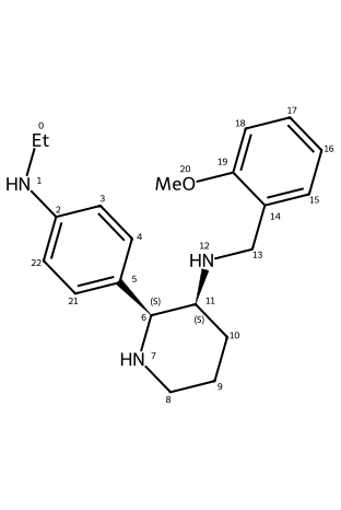 CCNc1ccc([C@@H]2NCCC[C@@H]2NCc2ccccc2OC)cc1